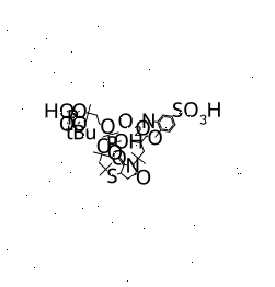 CC(CC(C)(C)N1C(=O)CC(SC(C)(C)CC(C)(C)OP(=O)(O)C(C)(C)OCCC(C)(C)OP(=O)(O)OC(C)(C)C)C1=O)C(=O)Oc1ccc(S(=O)(=O)O)cc1[N+](=O)[O-]